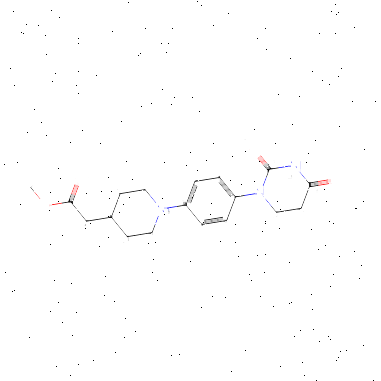 COC(=O)CC1CCN(c2ccc(N3CCC(=O)NC3=O)cc2)CC1